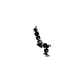 CC(CO)c1ccc(-c2n[nH]c3ccc(N4CC[C@]5(CCN(CC(=O)N6CC=C(c7ccc(-c8ncn(C)n8)cc7)CC6)C5)C4=O)cc23)cn1